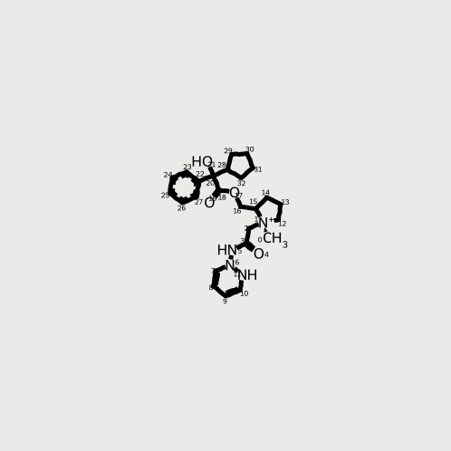 C[N@+]1(CC(=O)NN2C=CC=CN2)CCCC1COC(=O)C(O)(c1ccccc1)C1CCCC1